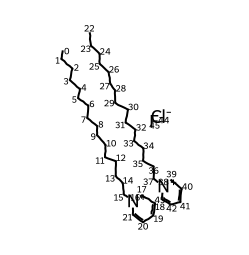 CCCCCCCCCCCCCCCC[n+]1ccccc1.CCCCCCCCCCCCCCCC[n+]1ccccc1.[Cl-].[F-]